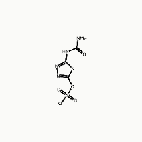 CNC(=O)Nc1nnc(OS(=O)(=O)Cl)s1